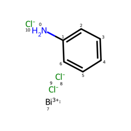 Nc1ccccc1.[Bi+3].[Cl-].[Cl-].[Cl-]